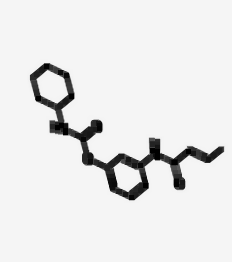 CC=CC(=O)Nc1cccc(OC(=O)NC2CCCCC2)c1